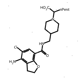 CCCCCC(C(=O)O)N1CCC(CNC(=O)c2cc(Cl)c(N)c3c2OCC3)CC1